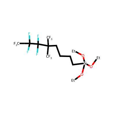 CCO[Si](CCCCC(C(F)(F)F)(C(F)(F)F)C(F)(F)C(F)(F)C(F)(F)F)(OCC)OCC